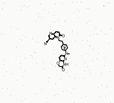 CN(c1ccc2c(n1)NC(=O)CO2)C12CCC(CCn3c(=O)ccc4ncc(C#N)cc43)(CC1)OC2